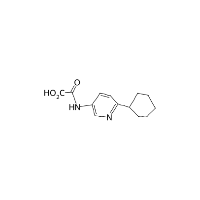 O=C(O)C(=O)Nc1ccc(C2CCCCC2)nc1